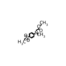 CCOC(=O)CN(C)c1ccc(S(=O)(=O)CC)cc1